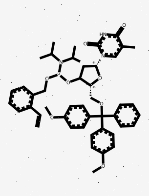 C=Cc1ccccc1COP(OC1C[C@H](n2cc(C)c(=O)[nH]c2=O)O[C@@H]1COC(c1ccccc1)(c1ccc(OC)cc1)c1ccc(OC)cc1)N(C(C)C)C(C)C